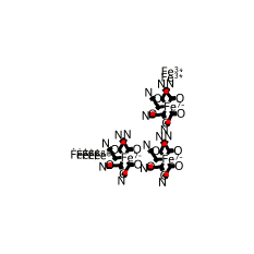 N#C[C](=O)[Fe-7]([C](=O)C#N)([C](=O)C#N)([C](=O)C#N)[C](=O)C#N.N#C[C](=O)[Fe-7]([C](=O)C#N)([C](=O)C#N)([C](=O)C#N)[C](=O)C#N.N#C[C](=O)[Fe-7]([C](=O)C#N)([C](=O)C#N)([C](=O)C#N)[C](=O)C#N.[Fe+3].[Fe+3].[Fe+3].[Fe+3].[Fe+3].[Fe+3].[Fe+3]